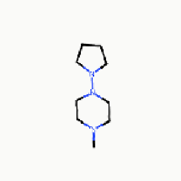 CN1CCN(N2CCCC2)CC1